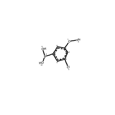 CCCOc1cc(Cl)cc(B(O)O)c1